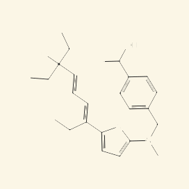 CCC(=CC=CC(O)(CC)CC)c1ccc(N(C)Cc2ccc(C(O)O)cc2)s1